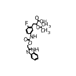 CC(C)OC(Cc1cc(NC(=O)OCc2nc3ccccc3[nH]2)ccc1F)C(=O)O